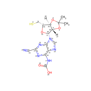 CC1(C)O[C@H]2[C@H](O1)[C@@H](CS)O[C@H]2n1cnc2c(NC(=O)O)nc(C#N)nc21